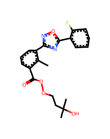 Cc1c(C(=O)OOCCC(C)(C)O)cccc1-c1noc(-c2ccccc2F)n1